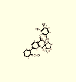 O=Cc1ccccc1-c1ccc2c(c1)C(C(=O)O)C1(CCCC1)N(Cc1ccc(C(F)(F)F)c(F)c1)C2=O